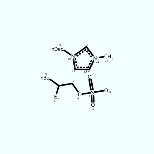 CCCCC(CC)COS(=O)(=O)[O-].CCCCCCCCCCn1cc[n+](C)c1